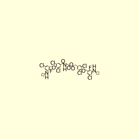 O=C(CNC(=O)c1cc(Cl)c(OCc2cc(Cl)cc(NC3CCC3)c2F)c(Cl)c1)OC(=O)Cc1cc(Cl)c(OCc2cc(Cl)cc(NC3CCC3)c2F)c(Cl)c1